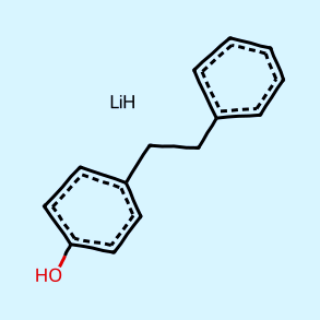 Oc1ccc(CCc2ccccc2)cc1.[LiH]